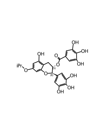 CC(C)Oc1cc(O)c2c(c1)O[C@H](c1cc(O)c(O)c(O)c1)[C@@H](OC(=O)c1cc(O)c(O)c(O)c1)C2